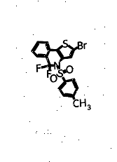 Cc1ccc(S(=O)(=O)N2c3cc(Br)sc3-c3ccccc3C2(F)F)cc1